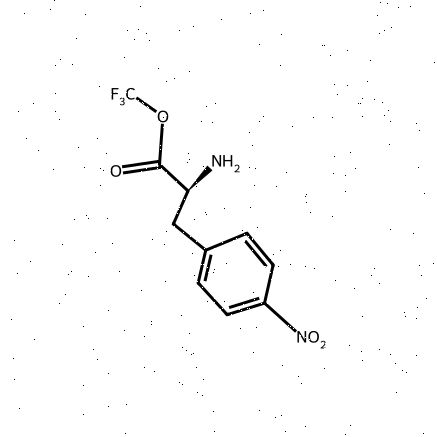 N[C@@H](Cc1ccc([N+](=O)[O-])cc1)C(=O)OC(F)(F)F